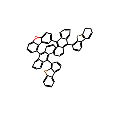 C1=Cc2c(sc3c(-c4c5ccccc5c(-c5ccc6oc7cccc(-c8c9ccccc9c(-c9cccc%10c9sc9ccccc9%10)c9ccccc89)c7c6c5)c5ccccc45)cccc23)CC1